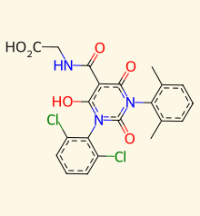 Cc1cccc(C)c1-n1c(=O)c(C(=O)NCC(=O)O)c(O)n(-c2c(Cl)cccc2Cl)c1=O